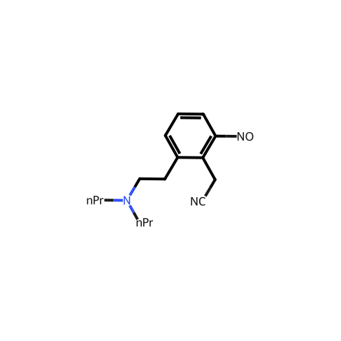 CCCN(CCC)CCc1cccc(N=O)c1CC#N